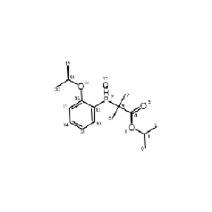 CC(C)OC(=O)C(C)(C)[PH](=O)c1ccccc1OC(C)C